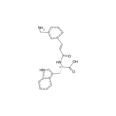 NCc1cccc(C=CC(=O)N[C@@H](Cc2c[nH]c3ccccc23)C(=O)O)c1